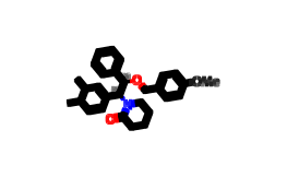 COc1ccc(CO[C@@H](c2ccccc2)[C@@H](C2=CC(C)C(C)C=C2)N2CCCCC2=O)cc1